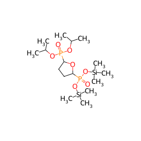 CC(C)OP(=O)(OC(C)C)C1CCC(P(=O)(O[Si](C)(C)C)O[Si](C)(C)C)O1